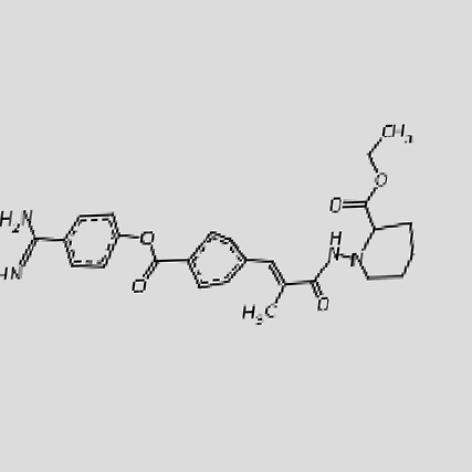 CCOC(=O)C1CCCCN1NC(=O)C(C)=Cc1ccc(C(=O)Oc2ccc(C(=N)N)cc2)cc1